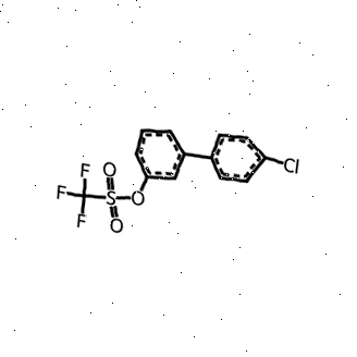 O=S(=O)(Oc1cccc(-c2ccc(Cl)cc2)c1)C(F)(F)F